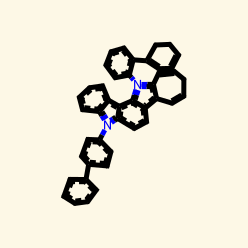 C1#Cc2c(c3ccc4c(c5ccccc5n4-c4ccc(-c5ccccc5)cc4)c3n2-c2ccccc2C2=CC=CCC2)C=CC1